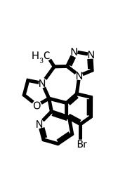 CC1c2nncn2-c2ccc(Br)cc2C2(c3ccccn3)OCCN12